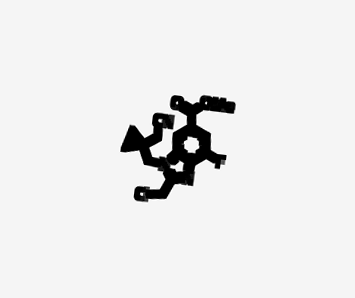 COC(=O)c1cc(F)c2nc(CCl)n(CC3(CC#N)CC3)c2c1